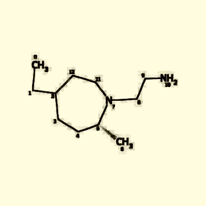 CCC1CC[C@@H](C)N(CCN)CC1